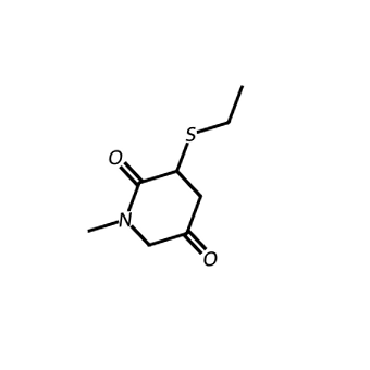 CCSC1CC(=O)CN(C)C1=O